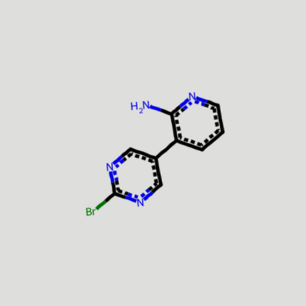 Nc1ncccc1-c1cnc(Br)nc1